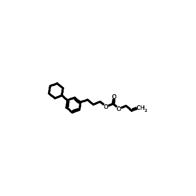 C=CCOC(=O)OCCCc1cccc(C2CCCCC2)c1